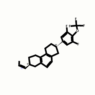 C/C=C\[C@H]1CCc2c(ccc3c2CC[C@H](c2cc(F)c(OC(F)(F)F)c(F)c2)C3)C1